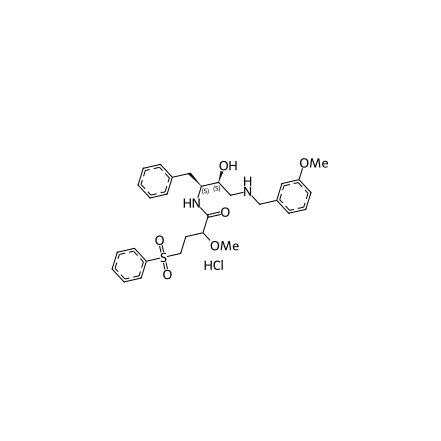 COc1cccc(CNC[C@H](O)[C@H](Cc2ccccc2)NC(=O)C(CCS(=O)(=O)c2ccccc2)OC)c1.Cl